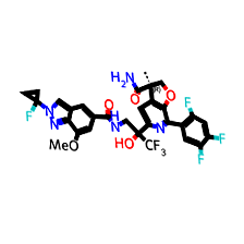 COc1cc(C(=O)NCC(O)(c2cc3c(c(-c4cc(F)c(F)cc4F)n2)OC[C@]3(C)C(N)=O)C(F)(F)F)cc2cn(C3(F)CC3)nc12